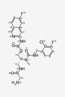 CN(C(=O)NCc1cccc(F)c1Cl)[C@H](CNC(=O)CN)COC(=O)Nc1cc2cc(F)ccc2cn1